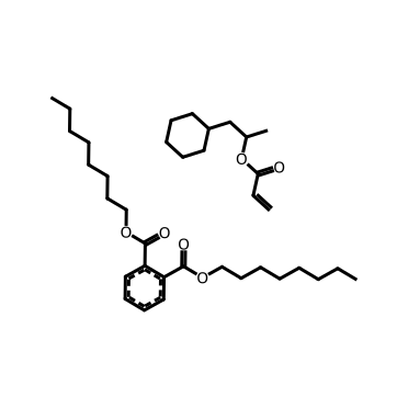 C=CC(=O)OC(C)CC1CCCCC1.CCCCCCCCOC(=O)c1ccccc1C(=O)OCCCCCCCC